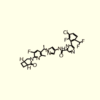 Cc1nc(N2C[C@H]3CC[C@H]3C2=O)c(F)cc1[C@@H](C)n1cc(NC(=O)c2cncc(-c3c(C(F)F)ccc(Cl)c3F)n2)cn1